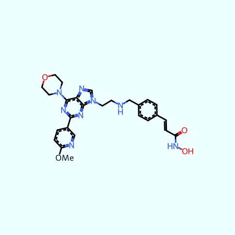 COc1ccc(-c2nc(N3CCOCC3)c3ncn(CCNCc4ccc(C=CC(=O)NO)cc4)c3n2)cn1